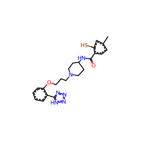 Cc1ccc(C(=O)NC2CCN(CCCOc3ccccc3-c3nnn[nH]3)CC2)c(S)c1